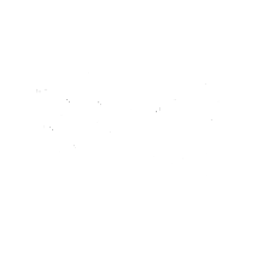 CCCCCn1c(=O)n(CCCn2c(-c3ccccc3)c(-c3ccccc3)c3ccccc32)c(=O)c2[nH]c(Cl)nc21